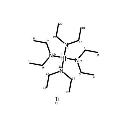 CC[N](CC)[Hf]([N](CC)CC)([N](CC)CC)[N](CC)CC.[Ti]